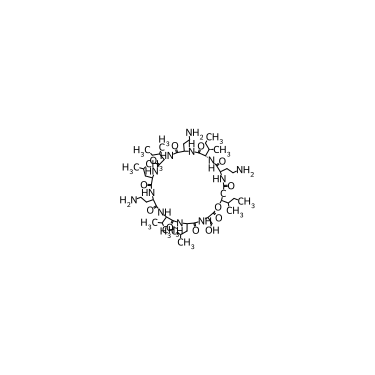 CCC(C)C1CC(=O)NC(CCN)C(=O)N[C@@H]([C@H](C)CC)C(=O)NC(CCN)C(=O)NC(C(C)CC)C(=O)NC(CC(C)C)C(=O)NC(CCN)C(=O)NC(C(C)C)C(=O)NC(CC(C)C)C(=O)NC(CO)C(=O)O1